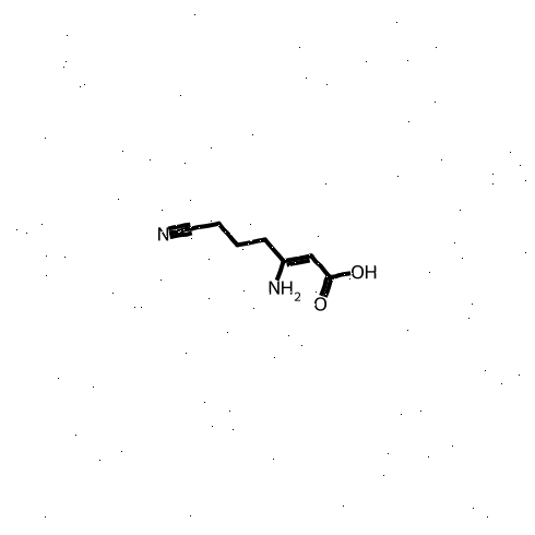 N#CCCCC(N)=CC(=O)O